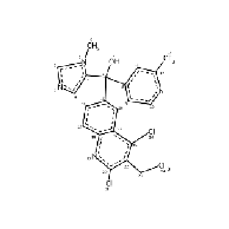 Cn1cncc1C(O)(c1ccnc(C(F)(F)F)c1)c1ccc2nc(Cl)c(CC(F)(F)F)c(Cl)c2c1